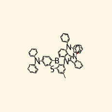 Cc1cc2c3c(c1)-n1c4c(ccc(N(c5ccccc5)c5ccccc5)c4c4c1c1ccccc1n4-c1ccccc1)B3c1ccc(N(c3ccccc3)c3ccccc3)cc1S2